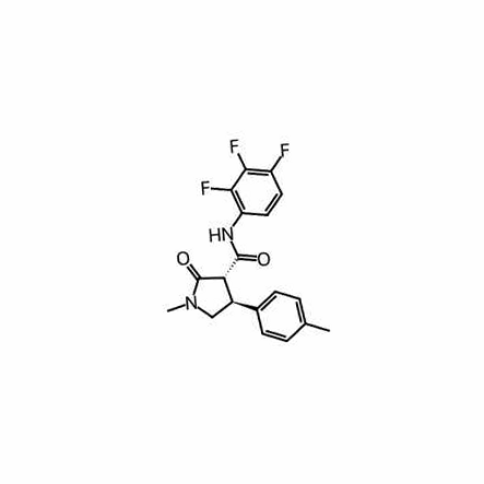 Cc1ccc([C@H]2CN(C)C(=O)[C@@H]2C(=O)Nc2ccc(F)c(F)c2F)cc1